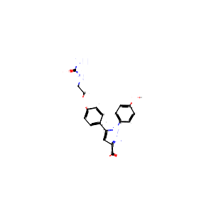 COc1ccc(-n2nc(C(=O)O)cc2-c2ccc(OCCNC(N)=O)cc2)cc1